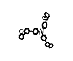 c1ccc2cc(-c3ccc(N(c4ccc(-c5ccc6oc7ccccc7c6c5)cc4)c4ccc(-c5cc6ccccc6o5)cc4)cc3)ccc2c1